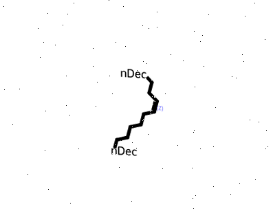 CCCCCCCCCCCC/C=C\CCCCCCCCCCCCCCC